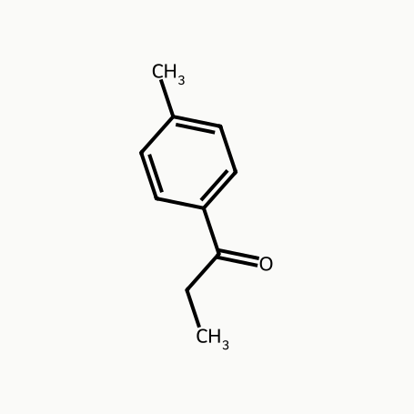 CCC(=O)c1ccc(C)cc1